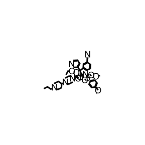 CCCN1CCC(N2CCN(C(=O)OC3(c4cccnc4OCC)C(=O)N(S(=O)(=O)c4ccc(OC)cc4OC)c4ccc(C#N)cc43)CC2)CC1